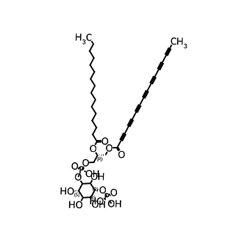 CC#CC#CC#CC#CC#CC#CC#CC(=O)OC[C@H](COP(=O)(O)OC1C(O)[C@H](OP(=O)(O)O)[C@H](O)C(O)[C@@H]1O)OC(=O)CCCCCCCCCCCCCCC